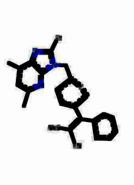 CCc1nc2c(C)cc(C)nc2n1Cc1ccc(C(=C(C#N)SC)c2ccccc2)cc1